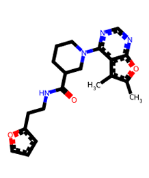 Cc1oc2ncnc(N3CCCC(C(=O)NCCc4ccco4)C3)c2c1C